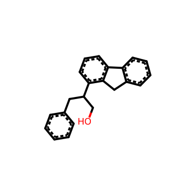 OCC(Cc1ccccc1)c1cccc2c1Cc1ccccc1-2